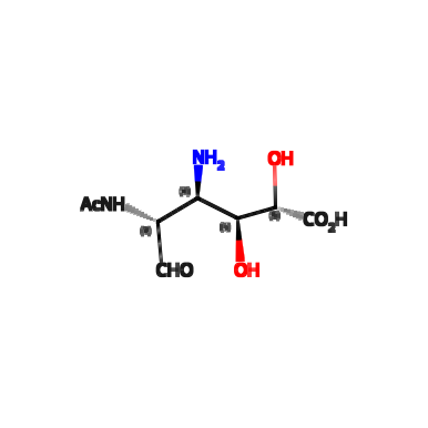 CC(=O)N[C@@H](C=O)[C@@H](N)[C@H](O)[C@H](O)C(=O)O